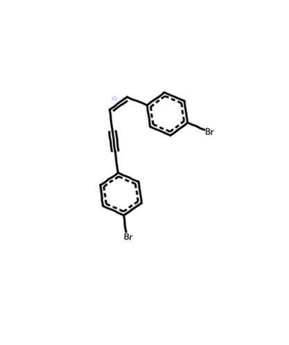 Brc1ccc(C#C/C=C\c2ccc(Br)cc2)cc1